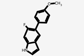 COc1ccc(-c2cc3cc[nH]c3cc2F)cc1